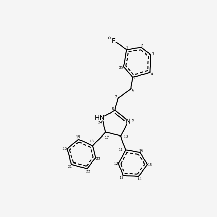 Fc1cccc(CCC2=NC(c3ccccc3)C(c3ccccc3)N2)c1